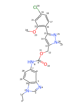 CCn1cnc2cc(NC(=O)OCc3cc(-c4ccc(Cl)cc4OC)nn3C)ccc21